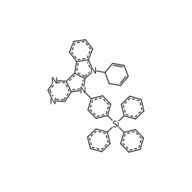 C1=CCC(n2c3ccccc3c3c4ncncc4n(-c4ccc([Si](c5ccccc5)(c5ccccc5)c5ccccc5)cc4)c32)C=C1